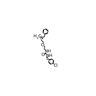 CN(CCOCCNC(=O)NSc1ccc(Cl)cc1)Cc1ccccc1